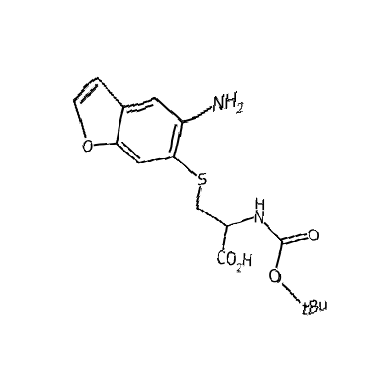 CC(C)(C)OC(=O)NC(CSc1cc2occc2cc1N)C(=O)O